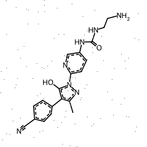 Cc1nn(-c2ccc(NC(=O)NCCN)cn2)c(O)c1-c1ccc(C#N)cc1